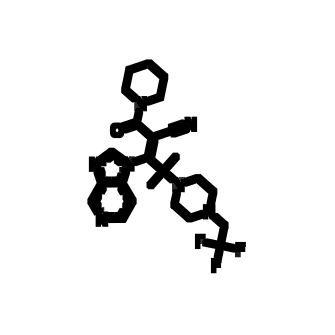 CC(C)(C(=C(C#N)C(=O)N1CCCCC1)n1cnc2cnccc21)N1CCN(CC(F)(F)F)CC1